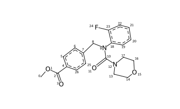 COC(=O)c1ccc(CN(C(=O)N2CCOCC2)c2ccccc2F)cc1